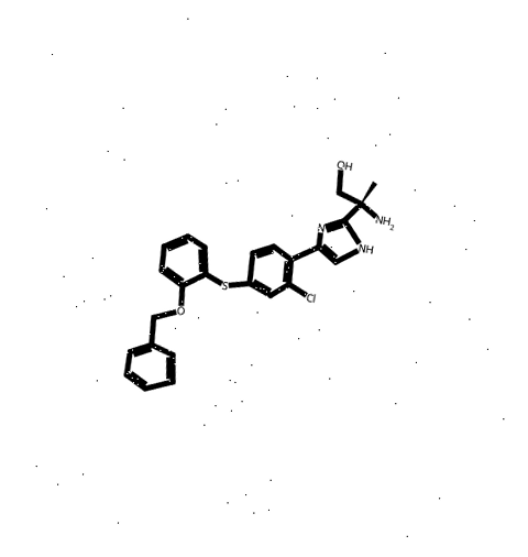 C[C@](N)(CO)c1nc(-c2ccc(Sc3ccccc3OCc3ccccc3)cc2Cl)c[nH]1